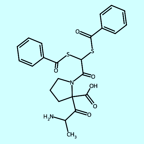 CC(N)C(=O)C1(C(=O)O)CCCN1C(=O)C(SC(=O)c1ccccc1)SC(=O)c1ccccc1